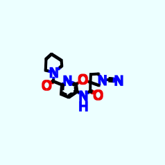 N#CN1CCC2(C1)Oc1nc(C(=O)N3CCCCC3)ccc1NC2=O